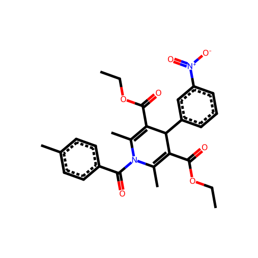 CCOC(=O)C1=C(C)N(C(=O)c2ccc(C)cc2)C(C)=C(C(=O)OCC)C1c1cccc([N+](=O)[O-])c1